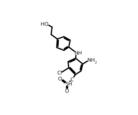 Nc1cc(C[SH](=O)=O)c(Cl)cc1Nc1ccc(CCO)cc1